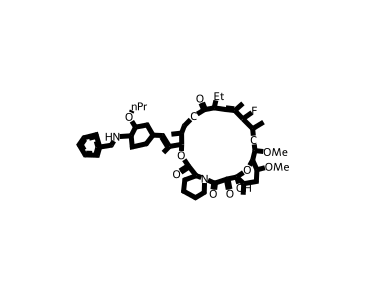 CCCOC1CC(C=C(C)C2OC(=O)C3CCCCN3C(=O)C(=O)C3(O)OC(C(OC)CC(C)C(F)/C(C)=C/C(CC)C(=O)CCC2C)C(OC)CC3C)CCC1NCc1ccccc1